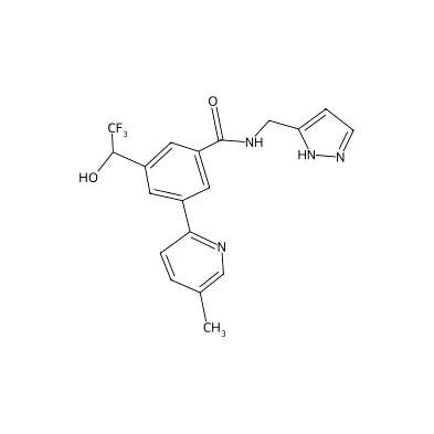 Cc1ccc(-c2cc(C(=O)NCc3ccn[nH]3)cc(C(O)C(F)(F)F)c2)nc1